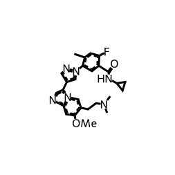 COc1cc2ncc(-c3cnn(-c4cc(C(=O)NC5CC5)c(F)cc4C)c3)n2cc1CCN(C)C